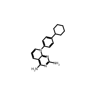 Nc1nc(N)c2c(n1)N(c1ccc(C3CCCCC3)cc1)C=C=C2